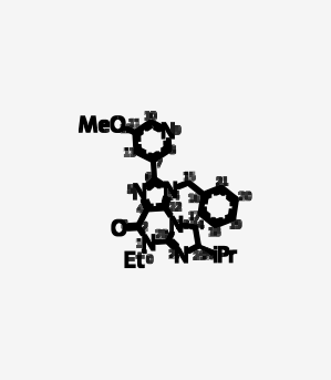 CCN1C(=O)c2nc(-c3cncc(OC)c3)n(Cc3ccccc3)c2N2C[C@@H](C(C)C)N=C12